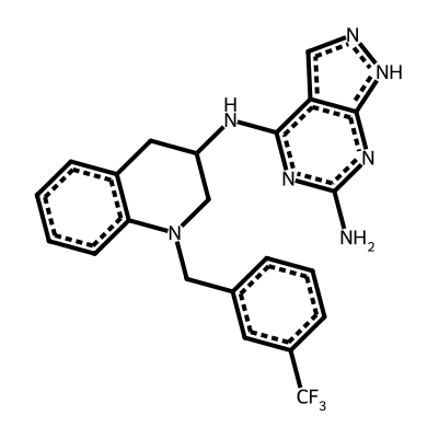 Nc1nc(NC2Cc3ccccc3N(Cc3cccc(C(F)(F)F)c3)C2)c2cn[nH]c2n1